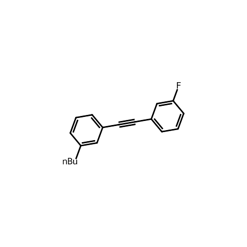 CCCCc1cccc(C#Cc2cccc(F)c2)c1